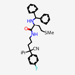 CSCC[C@H](NC(c1ccccc1)c1ccccc1)C(=O)NCCCC(C#N)(c1ccc(F)cc1)C(C)C